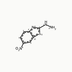 NNc1nc2ccc([N+](=O)[O-])cc2s1